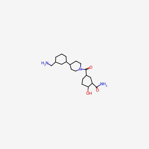 NCC1CCCC(C2CCN(C(=O)C3CCC(O)C(C(N)=O)C3)CC2)C1